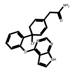 NC(=O)CC1=CCC(c2ccccc2Oc2ncnc3[nH]ccc23)(C(F)(F)F)C=C1